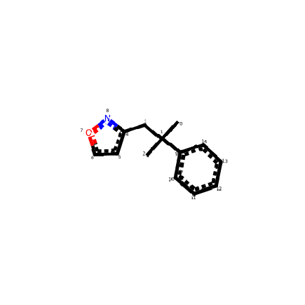 CC(C)(Cc1ccon1)c1ccccc1